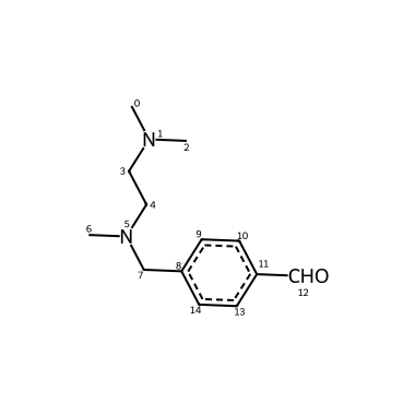 CN(C)CCN(C)Cc1ccc(C=O)cc1